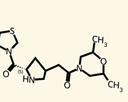 CC1CN(C(=O)CC2CN[C@H](C(=O)N3CCSC3)C2)CC(C)O1